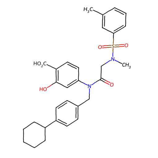 Cc1cccc(S(=O)(=O)N(C)CC(=O)N(Cc2ccc(C3CCCCC3)cc2)c2ccc(C(=O)O)c(O)c2)c1